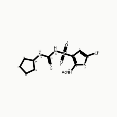 CC(=O)Nc1sc(Cl)cc1S(=O)(=O)NC(=S)NC1CCCC1